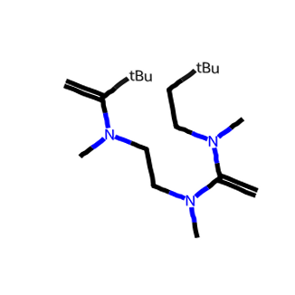 C=C(N(C)CCN(C)C(=C)C(C)(C)C)N(C)CCC(C)(C)C